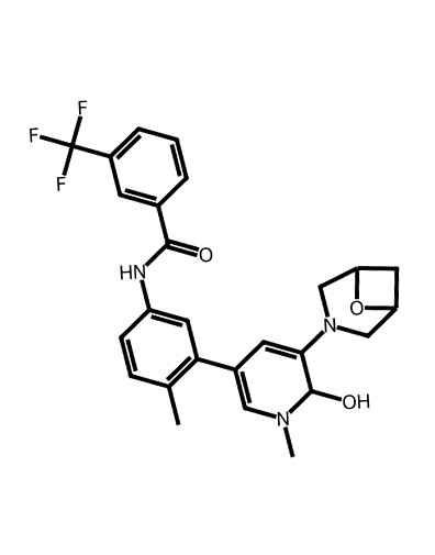 Cc1ccc(NC(=O)c2cccc(C(F)(F)F)c2)cc1C1=CN(C)C(O)C(N2CC3CC(C2)O3)=C1